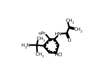 C=C(C)C(=O)Nc1cccc(C(C)(C)N)c1CCC.Cl